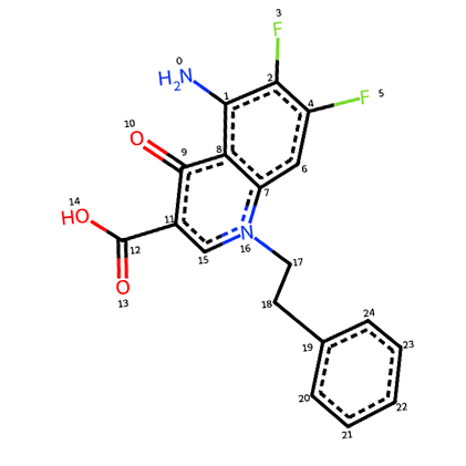 Nc1c(F)c(F)cc2c1c(=O)c(C(=O)O)cn2CCc1ccccc1